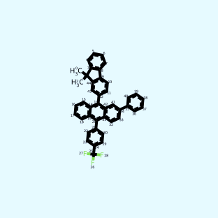 CC1(C)c2ccccc2-c2ccc(-c3c4ccccc4c(-c4ccc(C(F)(F)F)cc4)c4ccc(-c5ccccc5)cc34)cc21